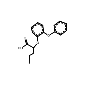 CCCC(Oc1ccccc1Oc1ccccc1)C(=O)O